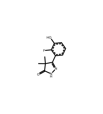 CC1(C)C(=O)NN=C1c1cccc(O)c1F